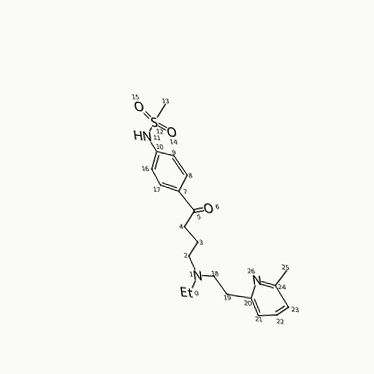 CCN(CCCC(=O)c1ccc(NS(C)(=O)=O)cc1)CCc1cccc(C)n1